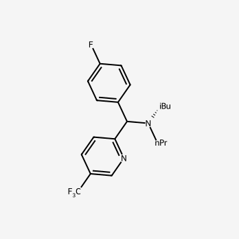 CCCN(C(c1ccc(F)cc1)c1ccc(C(F)(F)F)cn1)[C@@H](C)CC